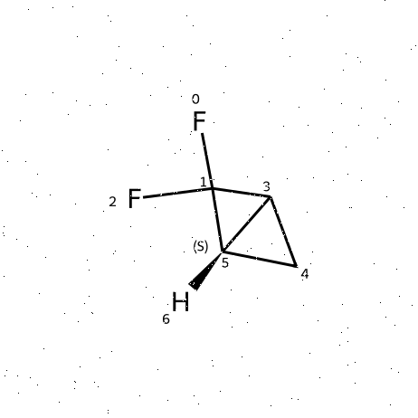 FC1(F)C2C[C@@H]21